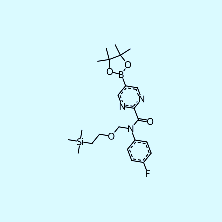 CC1(C)OB(c2cnc(C(=O)N(COCC[Si](C)(C)C)c3ccc(F)cc3)nc2)OC1(C)C